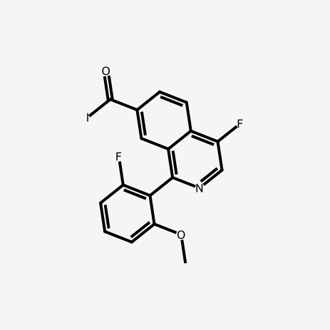 COc1cccc(F)c1-c1ncc(F)c2ccc(C(=O)I)cc12